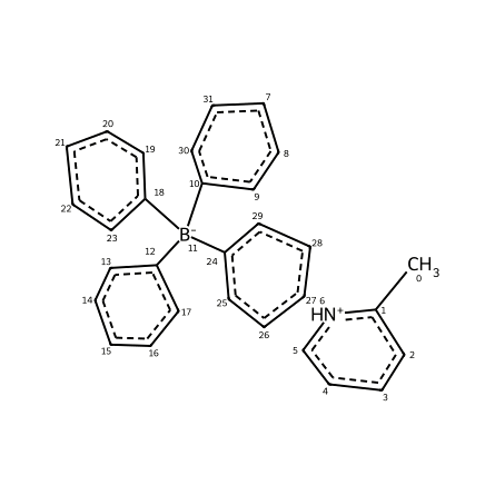 Cc1cccc[nH+]1.c1ccc([B-](c2ccccc2)(c2ccccc2)c2ccccc2)cc1